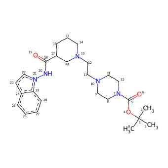 CC(C)(C)OC(=O)N1CCN(CCN2CCCC(C(=O)Nn3ccc4ccccc43)C2)CC1